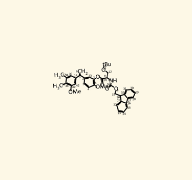 C=C(c1ccc(OC)c(OC(=O)[C@@H](COC(C)(C)C)NC(=O)OCC2c3ccccc3-c3ccccc32)c1)c1cc(C)c(C)c(OC)c1